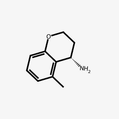 Cc1cccc2c1[C@@H](N)CCO2